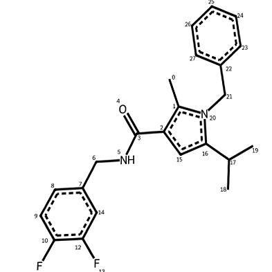 Cc1c(C(=O)NCc2ccc(F)c(F)c2)cc(C(C)C)n1Cc1ccccc1